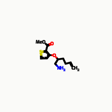 C=CCCC(CN)Oc1ccsc1C(=O)OC